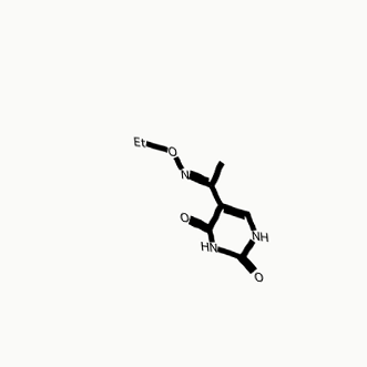 CCON=C(C)c1c[nH]c(=O)[nH]c1=O